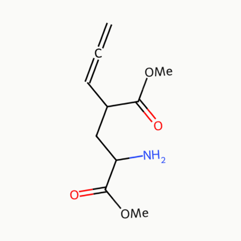 C=C=CC(CC(N)C(=O)OC)C(=O)OC